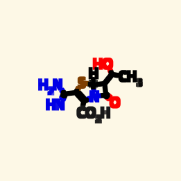 CC(O)C1C(=O)N2C(C(=O)O)=C(C(=N)N)S[C@H]12